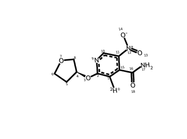 [2H]c1c(O[C@H]2CCOC2)ncc([N+](=O)[O-])c1C(N)=O